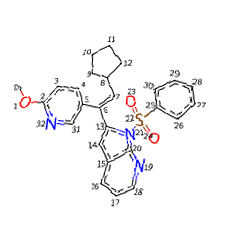 COc1ccc(/C(=C\C2CCCC2)c2cc3cccnc3n2S(=O)(=O)c2ccccc2)cn1